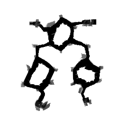 Cc1ccc(Cc2cc(Cc3ccc(C)cc3)c(C(=O)O)cc2C(=O)O)cc1